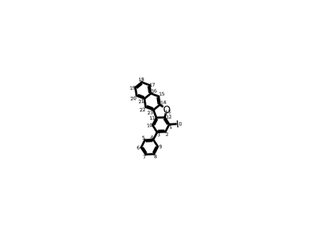 Ic1cc(-c2ccccc2)cc2c1oc1cc3ccccc3cc12